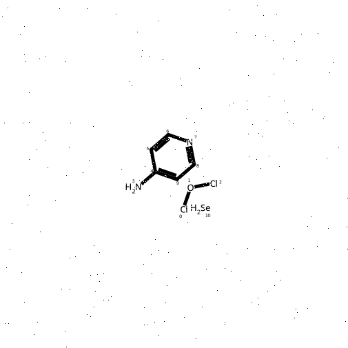 ClOCl.Nc1ccncc1.[SeH2]